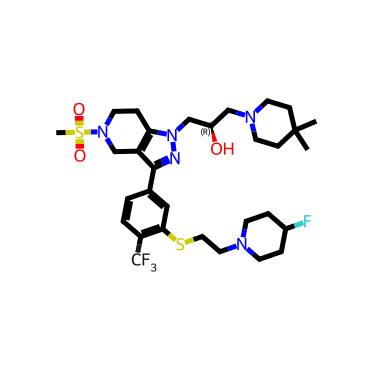 CC1(C)CCN(C[C@@H](O)Cn2nc(-c3ccc(C(F)(F)F)c(SCCN4CCC(F)CC4)c3)c3c2CCN(S(C)(=O)=O)C3)CC1